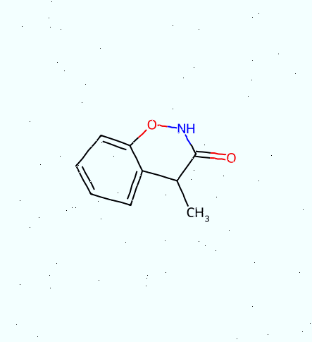 CC1C(=O)NOc2ccccc21